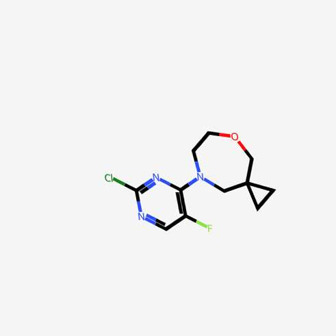 Fc1cnc(Cl)nc1N1CCOCC2(CC2)C1